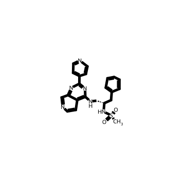 CS(=O)(=O)N[C@H](CNc1nc(-c2ccncc2)nc2cnccc12)Cc1ccccc1